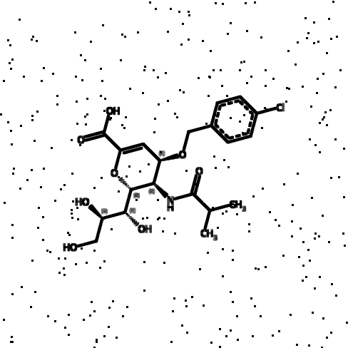 CC(C)C(=O)N[C@H]1[C@H]([C@H](O)[C@H](O)CO)OC(C(=O)O)=C[C@H]1OCc1ccc(Cl)cc1